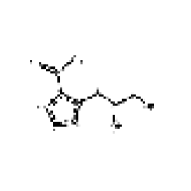 O=[N+]([O-])c1nccn1C[C@H](O)C[18F]